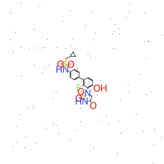 O=C1CN(c2c(O)ccc(-c3ccc(NS(=O)(=O)CC4CC4)cc3)c2F)S(=O)(=O)N1